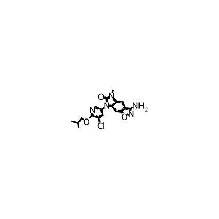 CC(C)COc1ncc(-n2c(=O)n(C)c3cc4c(N)noc4cc32)cc1Cl